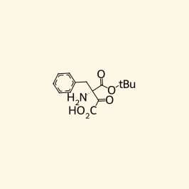 CC(C)(C)OC(=O)[C@](N)(Cc1ccccc1)C(=O)C(=O)O